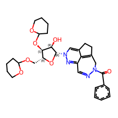 O=C(c1ccccc1)N1CC2=C3C(=CN([C@@H]4O[C@H](COC5CCCCO5)[C@@H](OC5CCCCO5)[C@H]4O)N=C3C=N1)CC2